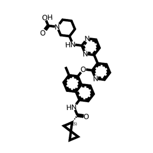 Cc1ccc2c(NC(=O)[C@H]3CC34CC4)cccc2c1Oc1ncccc1-c1ccnc(NC2CCCN(C(=O)O)C2)n1